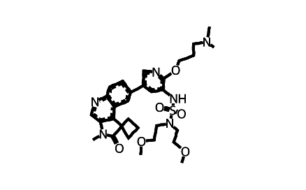 COCCN(CCOC)S(=O)(=O)Nc1cc(-c2ccc3ncc4c(c3c2)C2(CCC2)C(=O)N4C)cnc1OCCCN(C)C